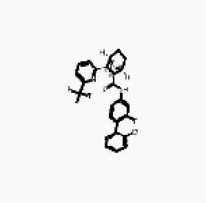 O=C(Nc1ccc(-c2ccccc2Cl)c(F)c1)[C@H]1[C@@H](c2cccc(C(F)(F)F)n2)[C@H]2CC[C@@H]1O2